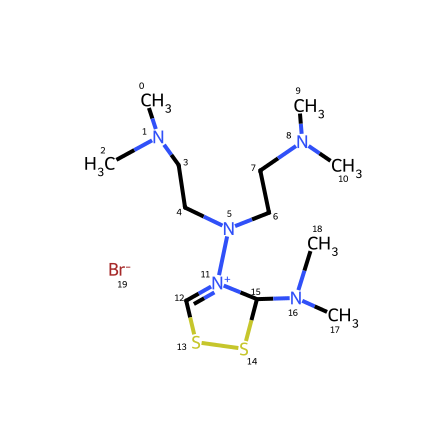 CN(C)CCN(CCN(C)C)[N+]1=CSSC1N(C)C.[Br-]